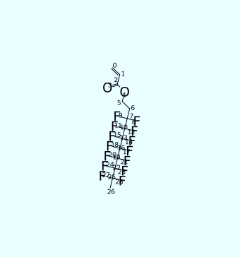 C=CC(=O)OCCC(F)(F)C(F)(F)C(F)(F)C(F)(F)C(F)(F)C(F)(F)C(C)(F)F